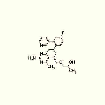 Cc1nc(N)nc2c1C(=NOCC(C)O)C[C@H](c1ccc(F)cc1-c1cccnc1)C2